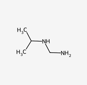 CC(C)NCN